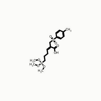 CO[Si](CCCC=C(CS(=O)(=O)c1ccc(C)cc1)C(=O)O)(OC)OC